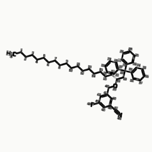 CCCCCCCCCCCCCCCCCC[C@H](CC(c1ccccc1)(c1ccccc1)c1ccccc1)OCc1cc(F)cc(C#N)c1